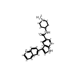 CN1CCC(NC(=O)c2cnc3[nH]cc(-c4ccc5ncccc5c4)c3c2)CC1